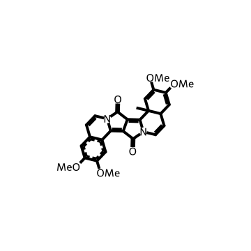 COC1=CC2C=CN3C(=O)C4=C5c6cc(OC)c(OC)cc6C=CN5C(=O)C4=C3C2(C)C=C1OC